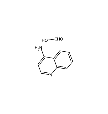 Nc1ccnc2ccccc12.O=CO